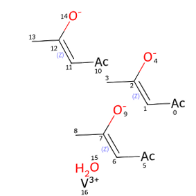 CC(=O)/C=C(/C)[O-].CC(=O)/C=C(/C)[O-].CC(=O)/C=C(/C)[O-].O.[V+3]